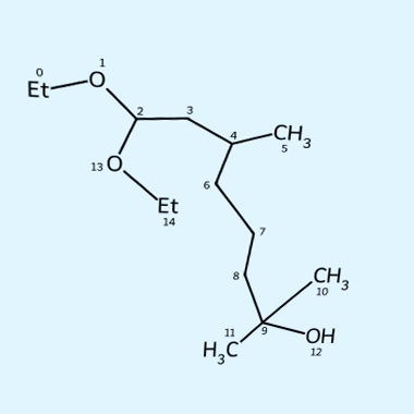 CCOC(CC(C)CCCC(C)(C)O)OCC